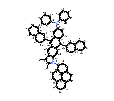 Cc1c(C)n(-c2ccc3ccc4cccc5ccc2c3c45)c2cc3c(-c4ccc5ccccc5c4)c4ccc(N(c5ccccc5)c5ccccc5)cc4c(-c4ccc5ccccc5c4)c3cc12